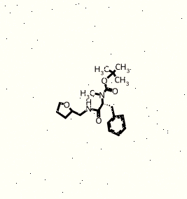 CN(C(=O)OC(C)(C)C)[C@H](Cc1ccccc1)C(=O)NCC1CCCO1